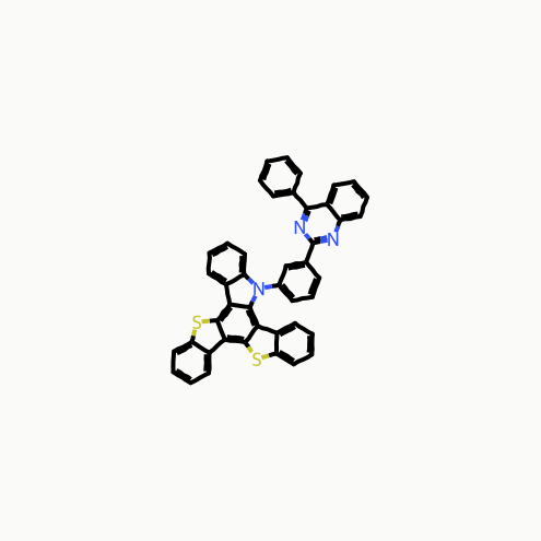 c1ccc(-c2nc(-c3cccc(-n4c5ccccc5c5c6sc7ccccc7c6c6sc7ccccc7c6c54)c3)nc3ccccc23)cc1